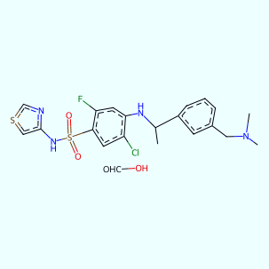 CC(Nc1cc(F)c(S(=O)(=O)Nc2cscn2)cc1Cl)c1cccc(CN(C)C)c1.O=CO